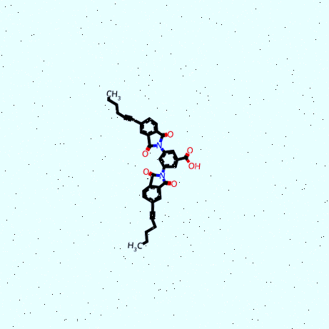 CCCCC#Cc1ccc2c(c1)C(=O)N(c1cc(C(=O)O)cc(N3C(=O)c4ccc(C#CCCCC)cc4C3=O)c1)C2=O